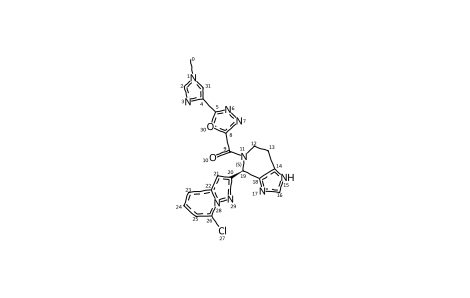 Cn1cnc(-c2nnc(C(=O)N3CCc4[nH]cnc4[C@H]3c3cc4cccc(Cl)n4n3)o2)c1